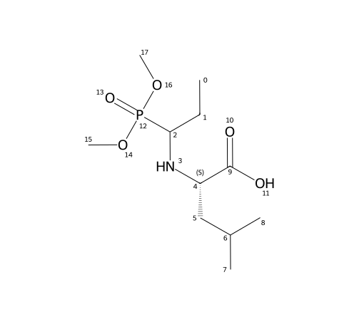 CCC(N[C@@H](CC(C)C)C(=O)O)P(=O)(OC)OC